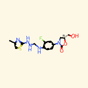 Cc1csc(NNCNc2ccc(N3C[C@H](CO)OC3=O)cc2F)n1